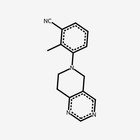 Cc1c(C#N)cccc1N1CCc2ncncc2C1